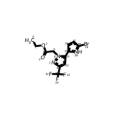 CCOC(=O)Cn1nc(C(F)(F)F)cc1-c1ccc(Br)[nH]1